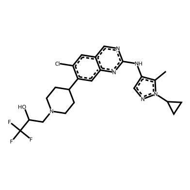 Cc1c(Nc2ncc3cc(Cl)c(C4CCN(CC(O)C(F)(F)F)CC4)cc3n2)cnn1C1CC1